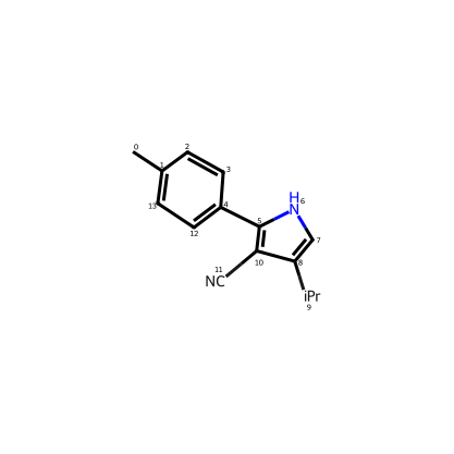 Cc1ccc(-c2[nH]cc(C(C)C)c2C#N)cc1